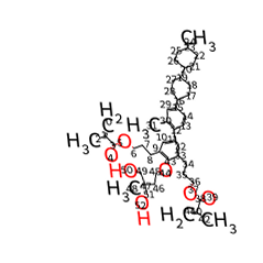 C=C(C)C(=O)OCCCc1cc(-c2ccc(C3CCC(C4CCC(C)CC4)CC3)cc2C)cc(CCCOC(=O)C(=C)C)c1OCCC(C)(CO)CO